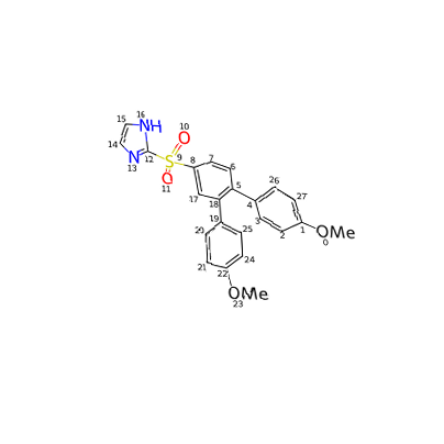 COc1ccc(-c2ccc(S(=O)(=O)c3ncc[nH]3)cc2-c2ccc(OC)cc2)cc1